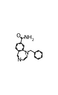 NC(=O)c1ccc2c(c1)N(Cc1ccccc1)C=CN=C2